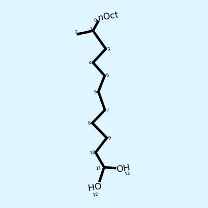 CCCCCCCCC(C)CCCCCCCCC(O)O